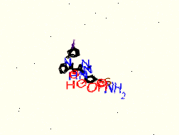 NSOC[C@H]1C[C@@H](Nc2ncncc2C(=O)c2cn(Cc3cccc(I)c3)c3ccccc23)[C@H](O)[C@@H]1O